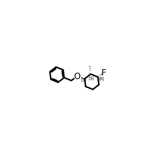 C[C@@H]1[C@H](F)CCC[C@@H]1OCc1ccccc1